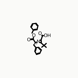 CC(C)(C)C1C(C(=O)O)N1[C@@H](Cc1ccccc1)C(=O)OCc1ccccc1